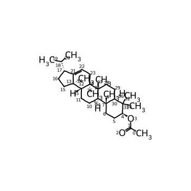 CC(=O)O[C@H]1CC[C@]2(C)[C@H]3CC[C@@H]4[C@@]5(C)CC[C@H](C(C)C)C5=CC[C@@]4(C)[C@]3(C)CC[C@H]2C1(C)C